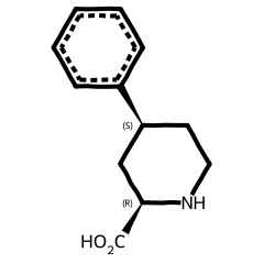 O=C(O)[C@H]1C[C@@H](c2ccccc2)CCN1